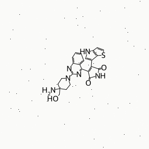 NC1(CO)CCN(c2nc(C3=C(c4c[nH]c5ccsc45)C(=O)NC3=O)c3ccccc3n2)CC1